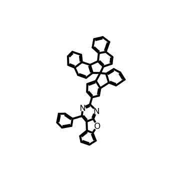 c1ccc(-c2nc(-c3ccc4c(c3)-c3ccccc3C43c4ccc5ccccc5c4-c4c3ccc3ccccc43)nc3oc4ccccc4c23)cc1